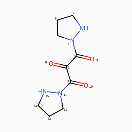 O=C(C(=O)N1CCCN1)C(=O)N1CCCN1